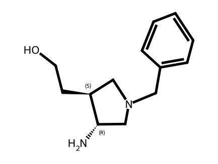 N[C@H]1CN(Cc2ccccc2)C[C@@H]1CCO